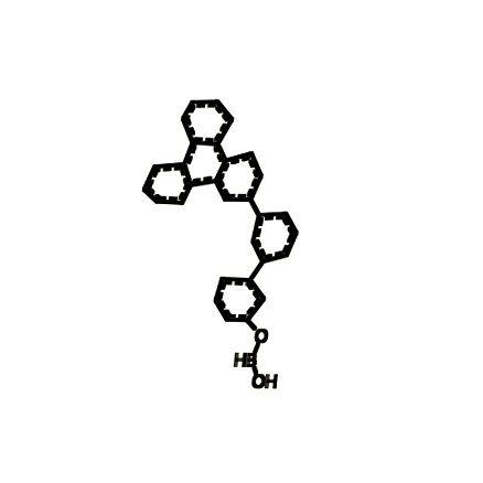 OBOc1cccc(-c2cccc(-c3ccc4c5ccccc5c5ccccc5c4c3)c2)c1